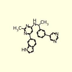 Cc1nc(N[C@@H](C)c2cccc(-c3cncnc3)c2)cc(-c2ccc3cc[nH]c3c2)n1